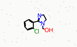 OCN1CCN=C1c1ccccc1Cl